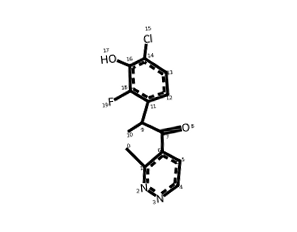 Cc1nnccc1C(=O)C(C)c1ccc(Cl)c(O)c1F